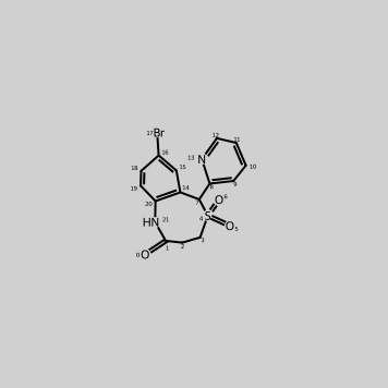 O=C1CCS(=O)(=O)C(c2ccccn2)c2cc(Br)ccc2N1